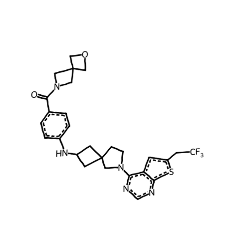 O=C(c1ccc(NC2CC3(CCN(c4ncnc5sc(CC(F)(F)F)cc45)C3)C2)cc1)N1CC2(COC2)C1